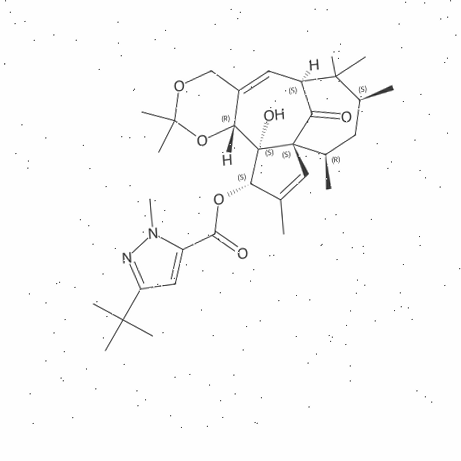 CC1=C[C@]23C(=O)[C@@H](C=C4COC(C)(C)O[C@H]4[C@]2(O)[C@H]1OC(=O)c1cc(C(C)(C)C)nn1C)C(C)(C)[C@@H](C)C[C@H]3C